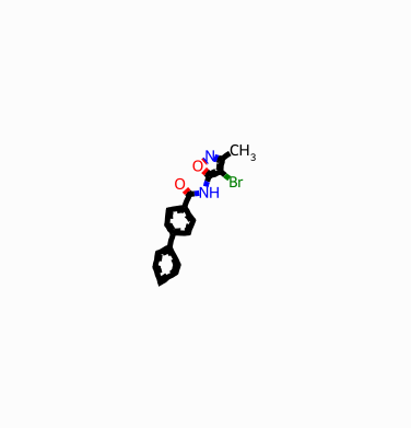 Cc1noc(NC(=O)c2ccc(-c3ccccc3)cc2)c1Br